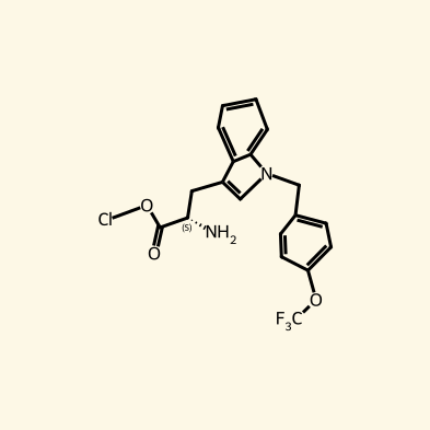 N[C@@H](Cc1cn(Cc2ccc(OC(F)(F)F)cc2)c2ccccc12)C(=O)OCl